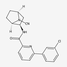 N#CN1[C@H]2CC[C@@H]1[C@H](NC(=O)c1cccc(-c3cccc(Cl)c3)n1)C2